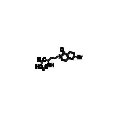 CC(CCCn1ccc2cc(Br)ccc2c1=O)NC(=O)O